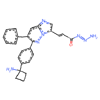 NN=NC(=O)/C=C/c1cnc2cc(-c3ccccc3)c(-c3ccc(C4(N)CCC4)cc3)nn12